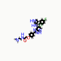 CN(C)CCNC(=O)COc1ccc(-c2nc3c(N[C@]4(Cc5ccc(F)cc5)CCNC4)c(Cl)cnc3[nH]2)cc1